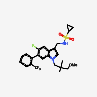 COCC(C)(C)Cn1cc(CNS(=O)(=O)C2CC2)c2cc(F)c(-c3ccccc3C(F)(F)F)cc21